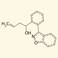 C=CCC(O)c1ccccc1-c1noc2ccccc12